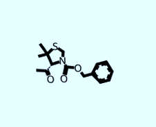 CC(=O)[C@H]1N(C(=O)OCc2ccccc2)CSC1(C)C